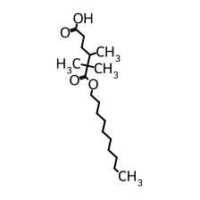 CCCCCCCCCCOC(=O)C(C)(C)C(C)CCC(=O)O